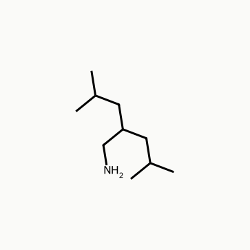 CC(C)CC(CN)CC(C)C